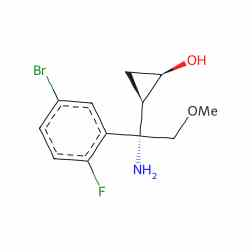 COC[C@@](N)(c1cc(Br)ccc1F)[C@H]1C[C@H]1O